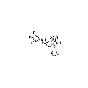 O=C(Nc1cc(F)c(F)c(F)c1)c1ccc(Cl)c(S(=O)(=O)[C@H]2C3CCC2C[C@](O)(COCc2cccnc2)C3)c1